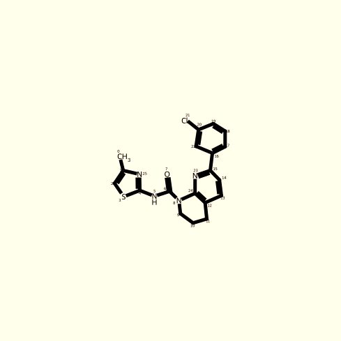 Cc1csc(NC(=O)N2CCCc3ccc(-c4cccc(Cl)c4)nc32)n1